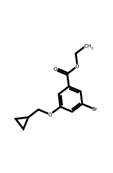 CCOC(=O)c1cc(Br)cc(OCC2CC2)c1